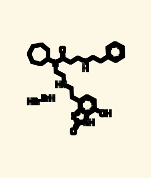 Br.Br.O=C(CCNCCc1ccccc1)N(CCNCCc1ccc(O)c2[nH]c(=O)sc12)C1CCCCCC1